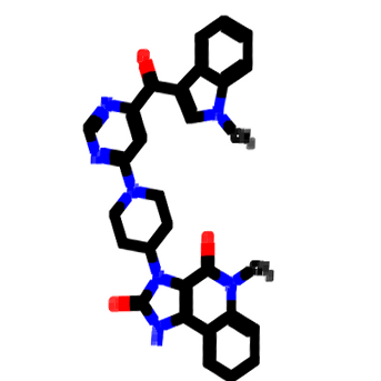 Cn1c2c(c3[nH]c(=O)n(C4CCN(c5cc(C(=O)c6cn(C)c7ccccc67)ncn5)CC4)c3c1=O)=CCCC=2